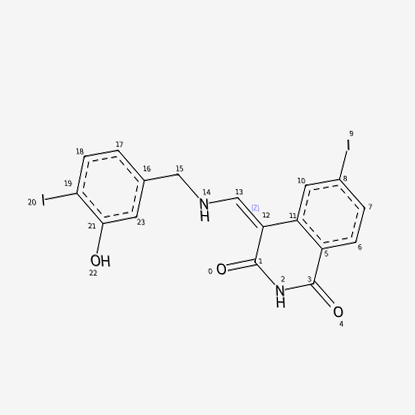 O=C1NC(=O)c2ccc(I)cc2/C1=C/NCc1ccc(I)c(O)c1